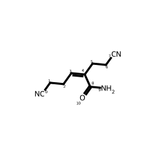 N#CCCC=C(CCC#N)C(N)=O